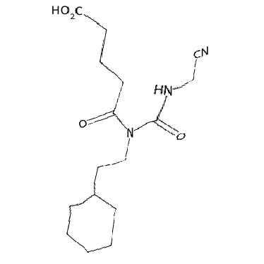 N#CCNC(=O)N(CCC1CCCCC1)C(=O)CCCC(=O)O